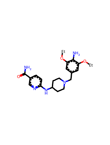 CCOc1cc(CN2CCC(Nc3ccc(C(N)=O)cn3)CC2)cc(OCC)c1N